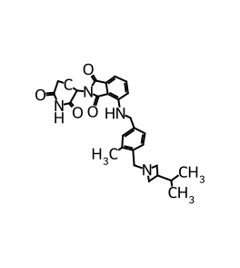 Cc1cc(CNc2cccc3c2C(=O)N(C2CCC(=O)NC2=O)C3=O)ccc1CN1CC(C(C)C)C1